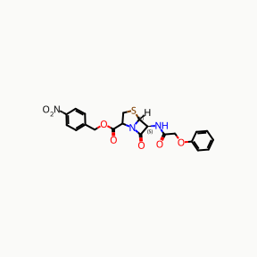 O=C(COc1ccccc1)N[C@H]1C(=O)N2C(C(=O)OCc3ccc([N+](=O)[O-])cc3)CS[C@H]12